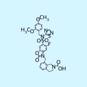 COc1ccc(CN(c2ncns2)S(=O)(=O)c2cc3oc(=O)n(Cc4cccc5c4CN(C(=O)O)CC5)c3cc2F)c(OC)c1